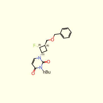 CCCCn1c(=O)ccn([C@H]2C[C@H](COCc3ccccc3)[C@H]2F)c1=O